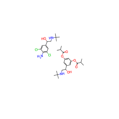 CC(C)(C)NCC(O)c1cc(Cl)c(N)c(Cl)c1.CC(C)C(=O)Oc1cc(OC(=O)C(C)C)cc(C(O)CNC(C)(C)C)c1